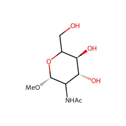 CO[C@@H]1OC(CO)[C@@H](O)[C@H](O)C1NC(C)=O